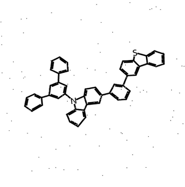 c1ccc(-c2cc(-c3ccccc3)cc(-n3c4ccccc4c4cc(-c5cccc(-c6ccc7sc8ccccc8c7c6)c5)ccc43)c2)cc1